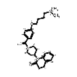 CN(C)CCCCOc1ccc(C(=O)N2CCC(N3C(=O)CCc4ccccc43)CC2)cc1